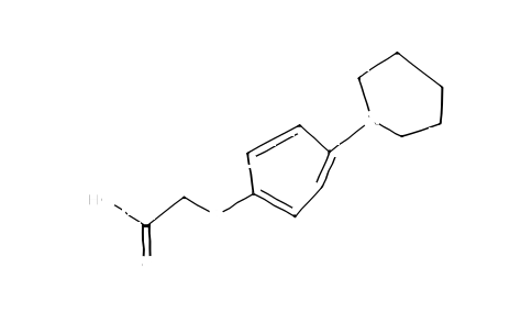 O=C(O)CSc1ccc(N2CCCCC2)cc1